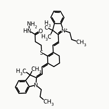 CCCN1/C(=C/C=C2\CCCC(/C=C/C3=[N+](CCC)c4ccccc4C3(C)C)=C2SCCC(=O)NN)C(C)(C)c2ccccc21